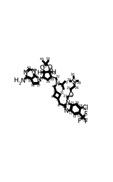 CC(C)N(CC1CC(Cc2nc3cc(C(F)(F)F)c(Cl)cc3n2COCC[Si](C)(C)C)C1)C[C@H]1C[C@@H](n2ccc3c(N)ncnc32)[C@@H]2OC(C)(C)O[C@H]12